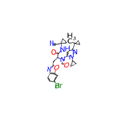 CC1(c2cc(N(C=O)[C@@H](Cc3nc4ccc(Br)cc4o3)C(=O)NC3(C#N)CC3)n(C3CC3)n2)CC1